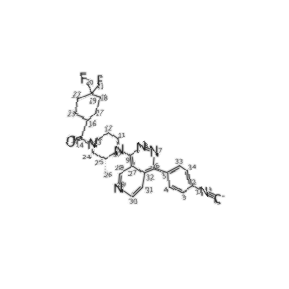 [C-]#[N+]c1ccc(-c2nnc(N3CCN(C(=O)C4CCC(F)(F)CC4)C[C@H]3C)c3cnccc23)cc1